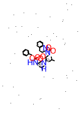 CC(C)C[C@H](NC(=O)[C@H](CC(C)C)NC(=O)OCc1ccccc1)C(=O)Cn1c(CCc2ccccc2)noc1=O